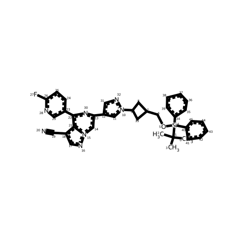 CC(C)(C)[Si](OCC1CC(n2cc(-c3cn4ncc(C#N)c4c(-c4ccc(F)nc4)n3)cn2)C1)(c1ccccc1)c1ccccc1